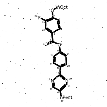 CCCCCCCCOc1ccc(C(=O)Oc2ccc(-c3ncc(CCCCC)cn3)cc2)cc1F